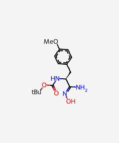 COc1ccc(C[C@H](NC(=O)OC(C)(C)C)/C(N)=N/O)cc1